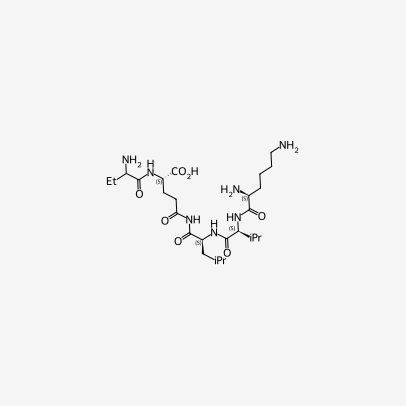 CCC(N)C(=O)N[C@@H](CCC(=O)NC(=O)[C@H](CC(C)C)NC(=O)[C@@H](NC(=O)[C@@H](N)CCCCN)C(C)C)C(=O)O